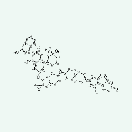 CCc1c(F)ccc2cc(O)cc(-c3ncc4c(N5CCC[C@@](C)(O)C5)nc(OCC5(CN6CCC(OC7CCC8(CC7)CCN(c7cc(F)c(C9CCC(=O)NC9=O)c(F)c7)CC8)CC6)CC5)nc4c3F)c12